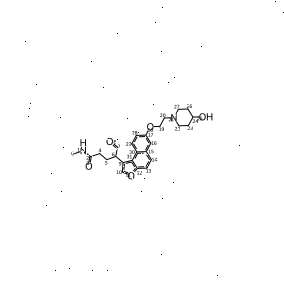 CNC(=O)CCC(C=O)c1coc2ccc3cc(OCCN4CCC(O)CC4)ccc3c12